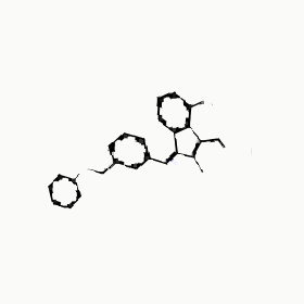 CC1=C(CC(=O)O)c2c(Br)cccc2/C1=C\c1cccc(COc2ccccc2)c1